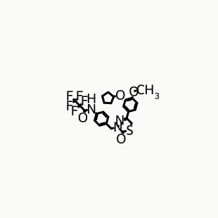 COc1ccc(C2=NN(Cc3ccc(NC(=O)C(F)(F)C(F)(F)F)cc3)C(=O)SC2)cc1OC1CCCC1